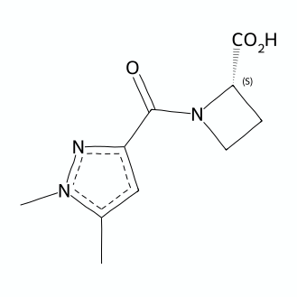 Cc1cc(C(=O)N2CC[C@H]2C(=O)O)nn1C